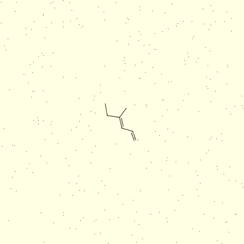 [CH]=C/C=C(\C)CC